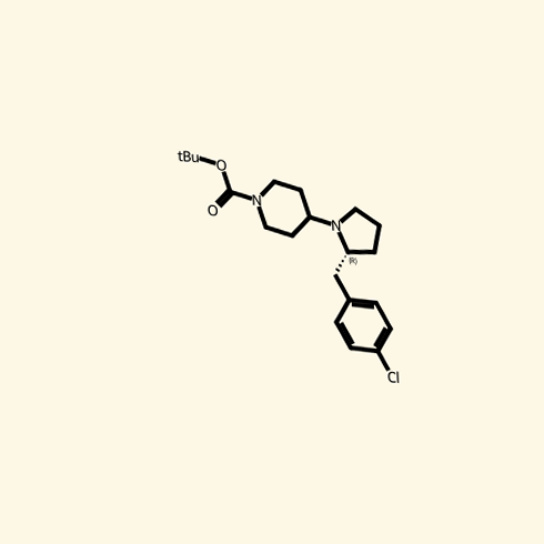 CC(C)(C)OC(=O)N1CCC(N2CCC[C@@H]2Cc2ccc(Cl)cc2)CC1